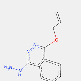 C=CCOc1nnc(NN)c2ccccc12